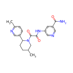 Cc1ccc(C2CCC(C)CN2C(=O)C(=O)Nc2cncc(C(N)=O)c2)cn1